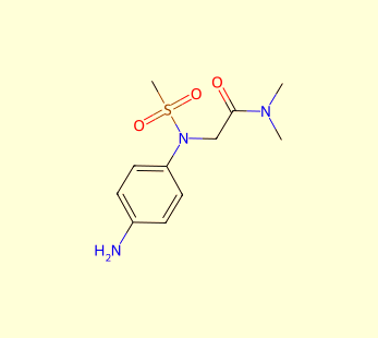 CN(C)C(=O)CN(c1ccc(N)cc1)S(C)(=O)=O